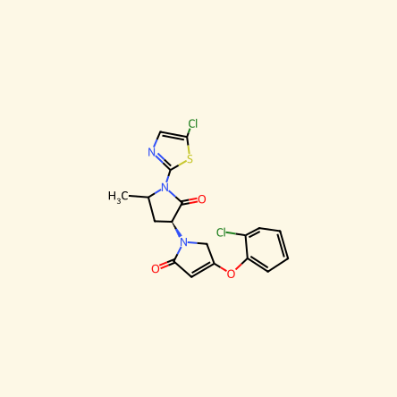 CC1C[C@H](N2CC(Oc3ccccc3Cl)=CC2=O)C(=O)N1c1ncc(Cl)s1